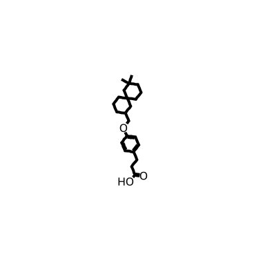 CC1(C)CCCC2(CCCC(COc3ccc(CCC(=O)O)cc3)C2)C1